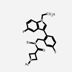 CCN(Cc1cc(F)ccc1-c1cn(CC(=O)O)c2ccc(F)cc12)C(=O)C1CN(C(C)=O)C1